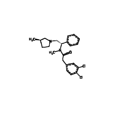 C[C@@H]1CCN(C[C@H](c2ccccc2)N(C)C(=O)Cc2ccc(Cl)c(Cl)c2)C1